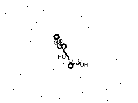 O=C(O)CCc1ccccc1OCCC(O)/C=C/c1cccc2c1CCN2S(=O)(=O)c1ccccc1